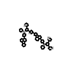 c1ccc(N(c2ccc(-c3ccc4c5c(cccc35)-c3cc(-c5ccc(-c6cc(-c7ccccn7)cc(N(c7ccccc7)c7ccc(-c8ccc9c%10c(cccc8%10)-c8ccccc8-9)cc7)c6)nc5)ccc3-4)cc2)c2cc(-c3cccnc3)cc(-c3cccnc3)c2)cc1